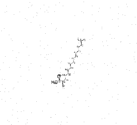 CC(C)CCCCCCCCCCCCCC(C)C(=O)O